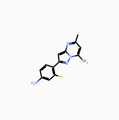 Cc1cc(C(F)(F)F)n2nc(-c3ccc(N)cc3F)cc2n1